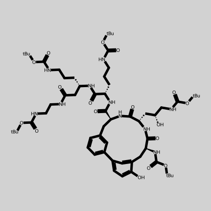 CC(C)(C)OC(=O)NCCC[C@@H](CC(=O)NCCNC(=O)OC(C)(C)C)NC(=O)[C@H](CCCNC(=O)OC(C)(C)C)NC(=O)[C@@H]1Cc2cccc(c2)-c2ccc(O)c(c2)C[C@H](NC(=O)OC(C)(C)C)C(=O)N[C@@H](C[C@@H](O)CNC(=O)OC(C)(C)C)C(=O)N1